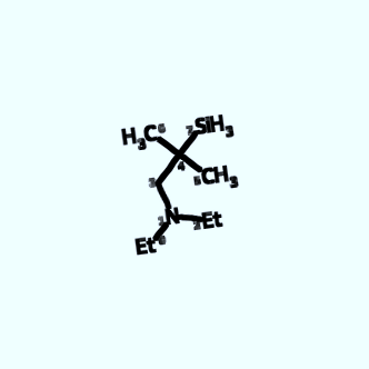 CCN(CC)CC(C)(C)[SiH3]